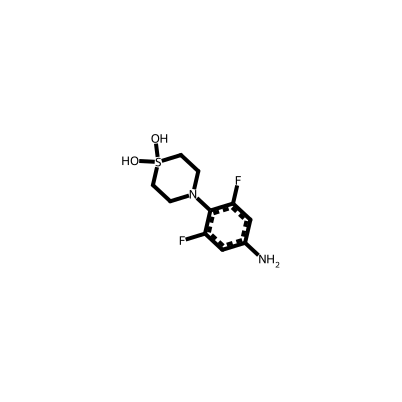 Nc1cc(F)c(N2CCS(O)(O)CC2)c(F)c1